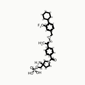 C/C(=N\OCc1ccc(C2CCCCC2)c(C(F)(F)F)c1)c1ccc(C(=O)N2CCC(N)(COP(=O)(O)O)C2)cc1